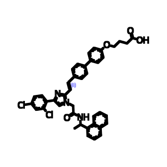 CC(NC(=O)Cn1cc(-c2ccc(Cl)cc2Cl)nc1/C=C/c1ccc(-c2ccc(OCCCC(=O)O)cc2)cc1)c1cccc2ccccc12